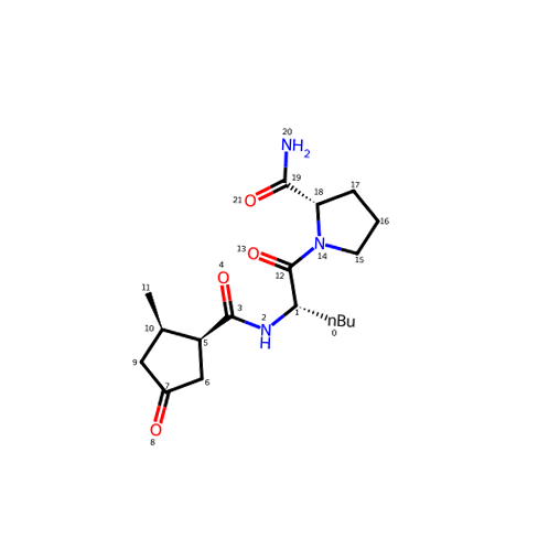 CCCC[C@H](NC(=O)[C@H]1CC(=O)C[C@H]1C)C(=O)N1CCC[C@H]1C(N)=O